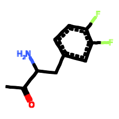 CC(=O)C(N)Cc1ccc(F)c(F)c1